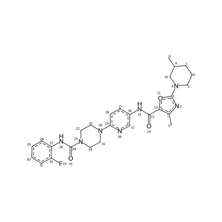 Cc1nc(N2CCCC(C)C2)oc1C(=O)Nc1ccc(N2CCN(C(=O)Nc3ccccc3F)CC2)nc1